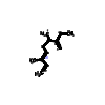 C=C/C(C)=C/CC(C)C(=O)CC